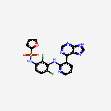 O=S(=O)(Nc1ccc(F)c(Nc2ncccc2-c2ncnc3[nH]cnc23)c1F)c1ccco1